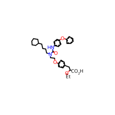 CCOC(Cc1ccc(OCCN(CCCCC2CCCCC2)C(=O)Nc2ccc(Oc3ccccc3)cc2)cc1)C(=O)O